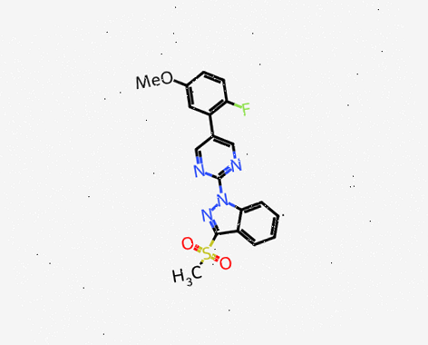 COc1ccc(F)c(-c2cnc(-n3nc(S(C)(=O)=O)c4cc[c]cc43)nc2)c1